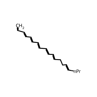 C=C/C=C/C=C/C=C/C=C/C=C/CC/C=C/CCC